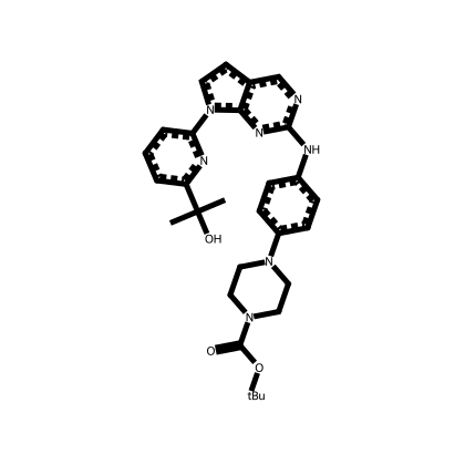 CC(C)(C)OC(=O)N1CCN(c2ccc(Nc3ncc4ccn(-c5cccc(C(C)(C)O)n5)c4n3)cc2)CC1